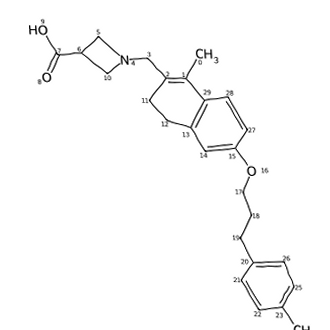 CC1=C(CN2CC(C(=O)O)C2)CCc2cc(OCCCc3ccc(C)cc3)ccc21